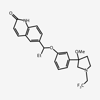 CCC(Oc1cccc(C2(OC)CCN(CC(F)(F)F)C2)c1)c1ccc2[nH]c(=O)ccc2c1